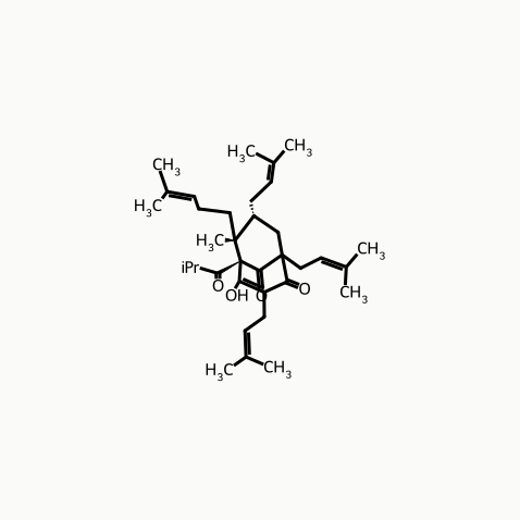 CC(C)=CCC[C@]1(C)[C@H](CC=C(C)C)CC2(CC=C(C)C)C(=O)C(CC=C(C)C)=C(O)[C@@]1(C(=O)C(C)C)C2=O